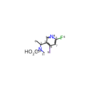 CC(c1cnc(F)cc1I)N(C)C(=O)O